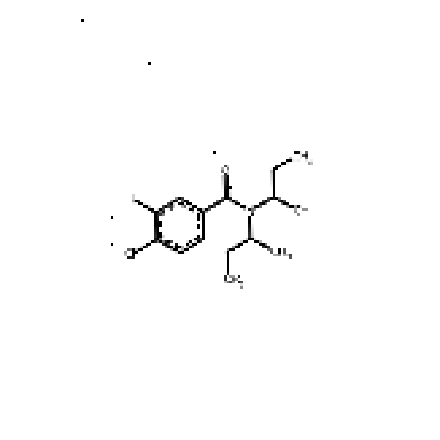 CCC(C)N(C(=O)c1ccc(Cl)c(I)c1)C(C)CC